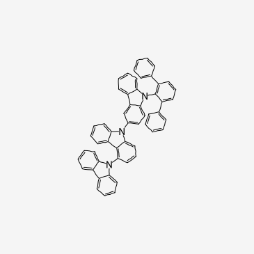 c1ccc(-c2cccc(-c3ccccc3)c2-n2c3ccccc3c3cc(-n4c5ccccc5c5c(-n6c7ccccc7c7ccccc76)cccc54)ccc32)cc1